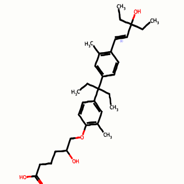 CCC(O)(/C=C/c1ccc(C(CC)(CC)c2ccc(OCC(O)CCCC(=O)O)c(C)c2)cc1C)CC